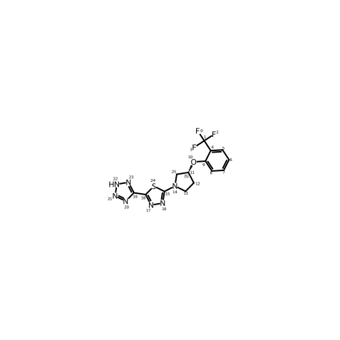 FC(F)(F)c1ccccc1O[C@H]1CCN(c2nnc(-c3nn[nH]n3)s2)C1